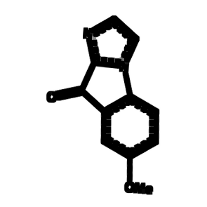 COc1ccc2c(c1)C(=O)c1nccn1-2